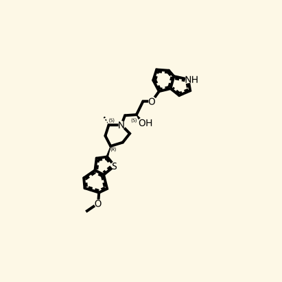 COc1ccc2cc([C@@H]3CCN(C[C@H](O)COc4cccc5[nH]ccc45)[C@@H](C)C3)sc2c1